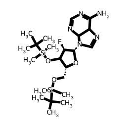 CC(C)(C)[Si](C)(C)OC[C@H]1O[C@@H](N2C=NC3C(N)=NC=NC32)[C@H](F)C1O[Si](C)(C)C(C)(C)C